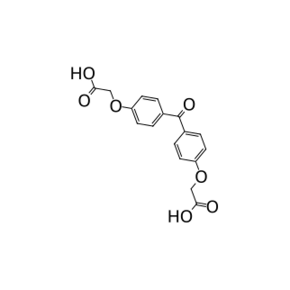 O=C(O)COc1ccc(C(=O)c2ccc(OCC(=O)O)cc2)cc1